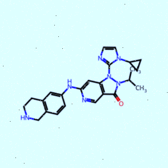 CC(C)n1c(=O)c2cnc(Nc3ccc4c(c3)CCNC4)cc2n1-c1nccn1C1CC1